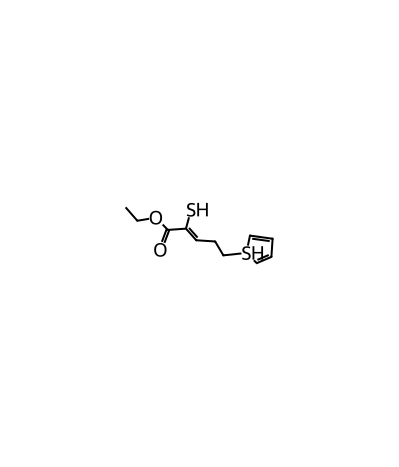 CCOC(=O)C(S)=CCC[SH]1C=CC=C1